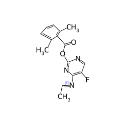 C/C=N/c1nc(OC(=O)c2c(C)cccc2C)ncc1F